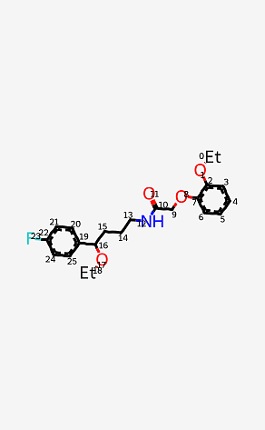 CCOc1ccccc1OCC(=O)NCCCC(OCC)c1ccc(F)cc1